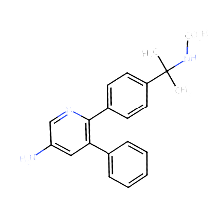 CC(C)(NC(=O)O)c1ccc(-c2ncc(N)cc2-c2ccccc2)cc1